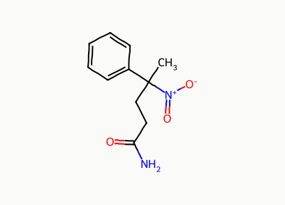 CC(CCC(N)=O)(c1ccccc1)[N+](=O)[O-]